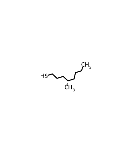 CCCC[C@H](C)CCCS